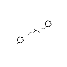 O=C(CCCOc1ccc(F)cc1)C(=O)OCc1ccccc1